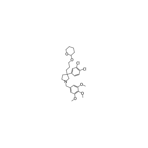 COc1cc(CN2CCC(CCCOC3CCCCO3)(c3ccc(Cl)c(Cl)c3)C2)cc(OC)c1OC